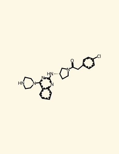 O=C(Cc1ccc(Cl)cc1)N1CC[C@H](Nc2nc(N3CCNCC3)c3ccccc3n2)C1